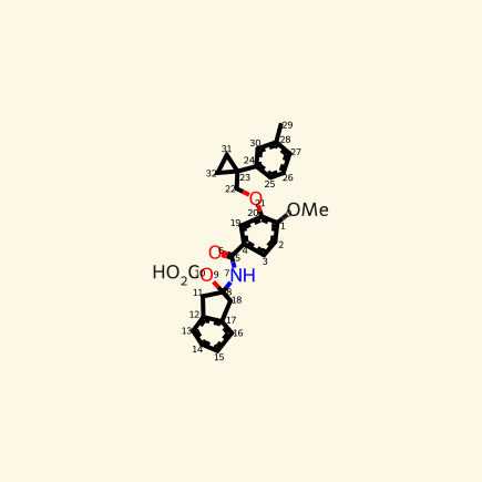 COc1ccc(C(=O)NC2(OC(=O)O)Cc3ccccc3C2)cc1OCC1(c2cccc(C)c2)CC1